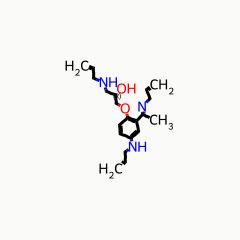 C=CCN=C(C)c1cc(NCC=C)ccc1OC[C@H](O)CNCC=C